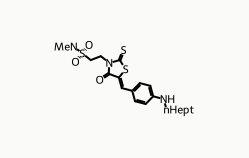 CCCCCCCNc1ccc(/C=C2\SC(=S)N(CCS(=O)(=O)NC)C2=O)cc1